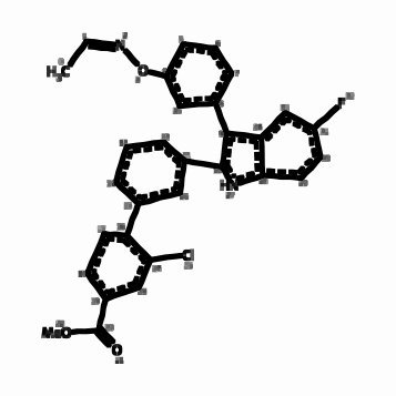 C/C=N\Oc1cccc(-c2c(-c3cccc(-c4ccc(C(=O)OC)cc4Cl)c3)[nH]c3ccc(F)cc23)c1